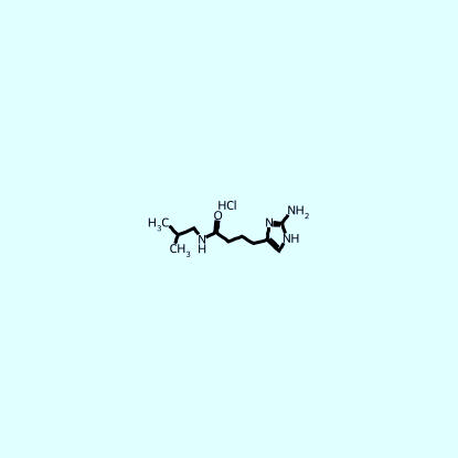 CC(C)CNC(=O)CCCc1c[nH]c(N)n1.Cl